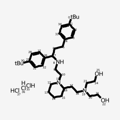 CC(C)(C)c1ccc(CCC(NCCN2CCCCC2CCN(CCO)CCO)c2ccc(C(C)(C)C)cc2)cc1.Cl.Cl.Cl